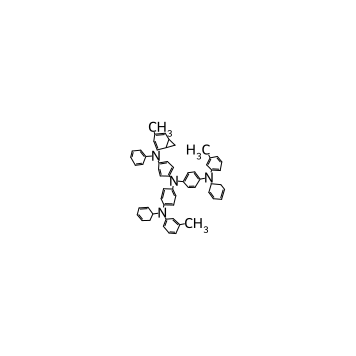 CC1=CC2CC2C(N(c2ccccc2)c2ccc(N(c3ccc(N(c4cccc(C)c4)C4C=CC=CC4)cc3)c3ccc(N(c4cccc(C)c4)C4C=CC=CC4)cc3)cc2)=C1